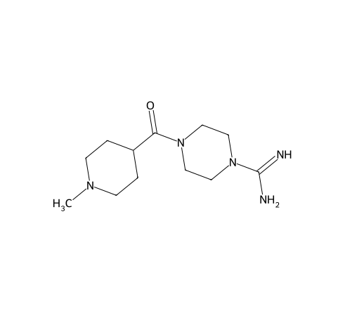 CN1CCC(C(=O)N2CCN(C(=N)N)CC2)CC1